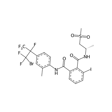 Cc1cc(C(F)(C(F)(F)F)C(F)(F)Br)ccc1NC(=O)c1cccc(I)c1C(=O)N[C@@H](C)CS(C)(=O)=O